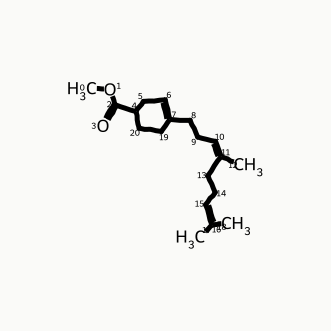 COC(=O)C1CC=C(CCC=C(C)CCC=C(C)C)CC1